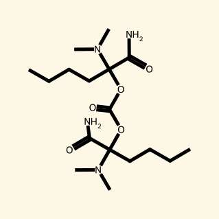 CCCCC(OC(=O)OC(CCCC)(C(N)=O)N(C)C)(C(N)=O)N(C)C